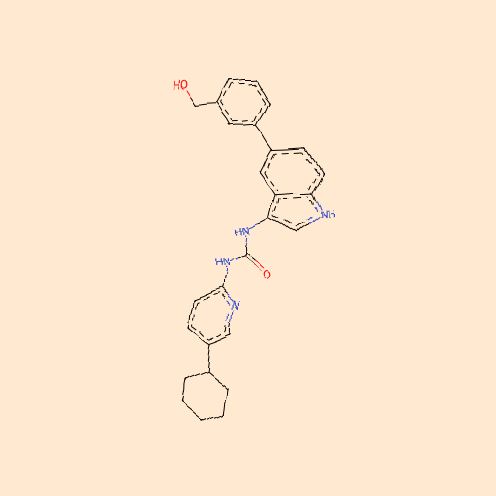 O=C(Nc1ccc(C2CCCCC2)cn1)Nc1c[nH]c2ccc(-c3cccc(CO)c3)cc12